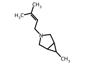 CC(C)=CCN1CC2C(C)C2C1